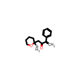 C=C(C(=O)CC1([SiH3])CCCCO1)c1ccccc1